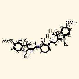 CCN1/C(=C/C=C2\CCCC(/C=C/C3=[N+](CC)c4ccc(OC)cc4C3(C)C)=C2Cl)C(C)(C)c2cc(OC)ccc21